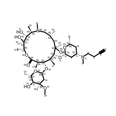 C#CCCN(C)[C@@H]1C[C@H](O[C@@H]2[C@@H](C)[C@H](O[C@H]3C[C@@](C)(OC)[C@@H](O)[C@H](C)O3)[C@@H](C)C(=O)O[C@H](I)[C@@](C)(O)[C@H](O)[C@@H](C)N(C)C[C@H](C)C[C@@]2(C)O)O[C@H](C)C1